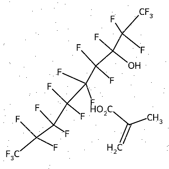 C=C(C)C(=O)O.OC(F)(C(F)(F)C(F)(F)F)C(F)(F)C(F)(F)C(F)(F)C(F)(F)C(F)(F)C(F)(F)F